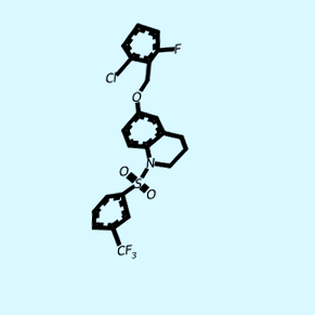 O=S(=O)(c1cccc(C(F)(F)F)c1)N1CCCc2cc(OCc3c(F)cccc3Cl)ccc21